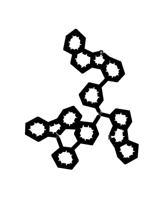 c1cc(-c2cccc3oc4c5ccccc5ccc4c23)cc(N(c2ccc(-c3ccccc3-n3c4ccccc4c4ccccc43)cc2)c2cccc3c2sc2ccccc23)c1